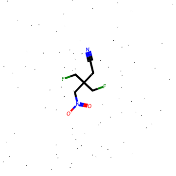 N#CCC(CF)(CF)C[N+](=O)[O-]